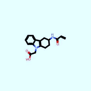 C=CC(=O)NC1CCc2c(c3ccccc3n2CC(=O)O)C1